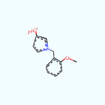 COc1ccccc1Cn1ccc(O)c1